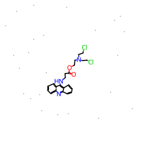 O=C(CCNc1c2ccccc2nc2ccccc12)OCCN(CCCl)CCCl